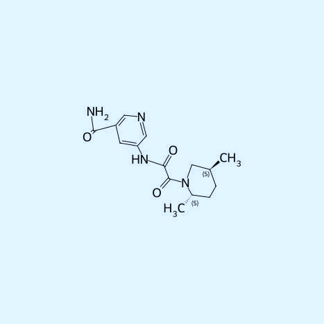 C[C@H]1CC[C@H](C)N(C(=O)C(=O)Nc2cncc(C(N)=O)c2)C1